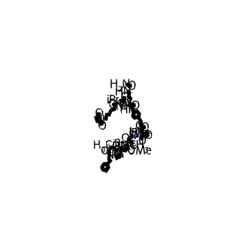 CC[C@H](C)[C@@H]([C@@H](CC(=O)N1CCC[C@H]1[C@H](OC)[C@@H](C)C(=O)NCCc1ccccc1)OC)N(C)C(=O)C(/C=N/C(=O)C1(NC(=O)OCc2ccc(NC(=O)[C@H](CCCNC(N)=O)NC(=O)[C@@H](NC(=O)CCCCCN3C(=O)C=CC3=O)C(C)C)cc2)COC1)C(C)C